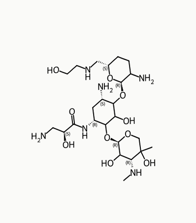 CN[C@@H]1C(O)[C@@H](OC2C(O)C(O[C@H]3O[C@H](CNCCO)CCC3N)[C@@H](N)C[C@H]2NC(=O)[C@@H](O)CN)OCC1(C)O